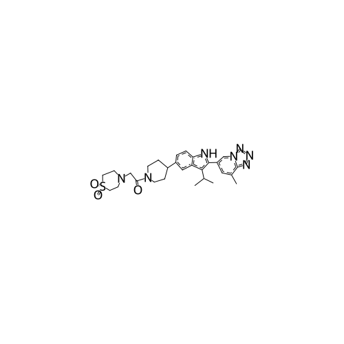 Cc1cc(-c2[nH]c3ccc(C4CCN(C(=O)CN5CCS(=O)(=O)CC5)CC4)cc3c2C(C)C)cn2nnnc12